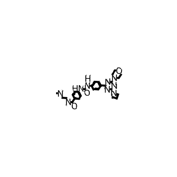 CN(C)CCN(C)C(=O)c1ccc(NC(=O)Nc2ccc(-c3nc(N4CCC4)nc(N4CCOCC4)n3)cc2)cc1